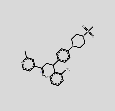 Cc1cc(/C(CC(c2ccc(N3CCN(S(C)(=O)=O)CC3)cc2)c2ccccc2C(F)(F)F)=N/O)ccn1